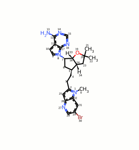 Cn1c(CC[C@H]2C[C@@H](n3ccc4c(N)ncnc43)[C@@H]3OC(C)(C)C[C@H]23)cc2ncc(Br)cc21